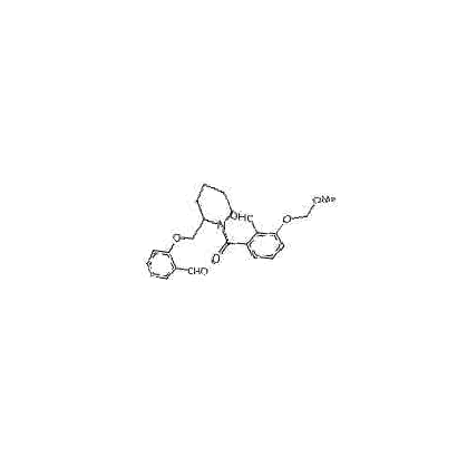 COCOc1cccc(C(=O)N2CCCCC2COc2ccccc2C=O)c1C=O